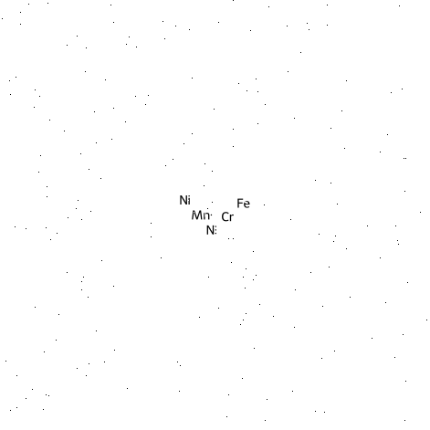 [Cr].[Fe].[Mn].[N].[Ni]